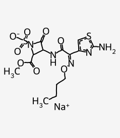 CCCCON=C(C(=O)NC1C(=O)N(S(=O)(=O)[O-])C1C(=O)OC)c1csc(N)n1.[Na+]